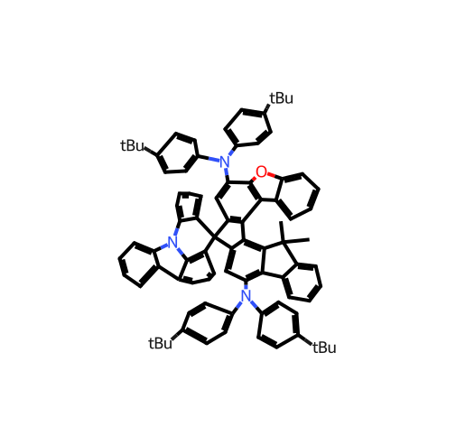 CC(C)(C)c1ccc(N(c2ccc(C(C)(C)C)cc2)c2cc3c(c4c2-c2ccccc2C4(C)C)-c2c(cc(N(c4ccc(C(C)(C)C)cc4)c4ccc(C(C)(C)C)cc4)c4oc5ccccc5c24)C32c3ccccc3-n3c4ccccc4c4cccc2c43)cc1